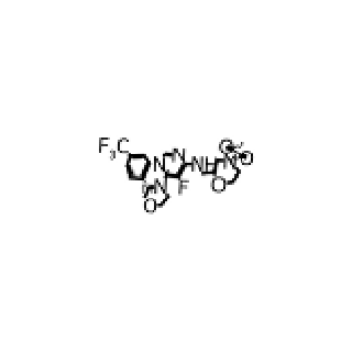 CS(=O)(=O)N1CCOC(CNc2ncnc(N3CCOC[C@@H]3c3ccc(C(F)(F)F)cc3)c2F)C1